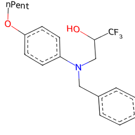 CCCCCOc1ccc(N(Cc2ccccc2)CC(O)C(F)(F)F)cc1